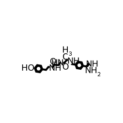 CC(NCc1ccc(C(=N)N)cc1)C(=O)NCC(=O)NCCc1ccc(O)cc1